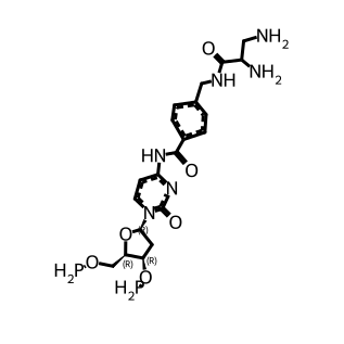 NCC(N)C(=O)NCc1ccc(C(=O)Nc2ccn([C@H]3C[C@@H](OP)[C@@H](COP)O3)c(=O)n2)cc1